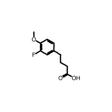 COc1ccc(CCCC(=O)O)cc1F